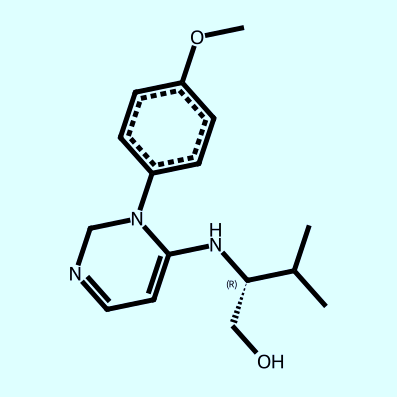 COc1ccc(N2CN=CC=C2N[C@@H](CO)C(C)C)cc1